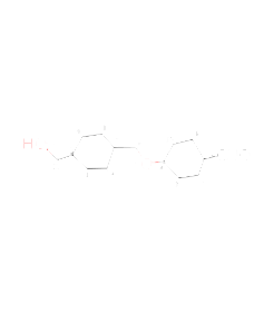 O=CC1CCC(OCC2CCC(CO)CC2)CC1